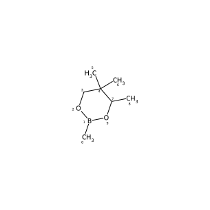 CB1OCC(C)(C)C(C)O1